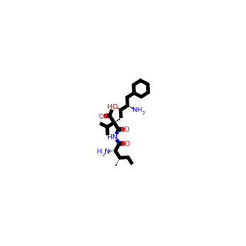 CC[C@H](C)[C@H](N)C(=O)NC(=O)[C@](C[C@H](O)[C@@H](N)CC1CCCCC1)(C(C)=O)C(C)C